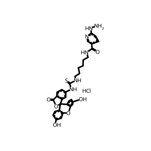 Cl.NNc1ccc(C(=O)NCCCCCCNC(=S)Nc2ccc3c(c2)C2(OC3=O)c3ccc(O)cc3Oc3cc(O)ccc32)cn1